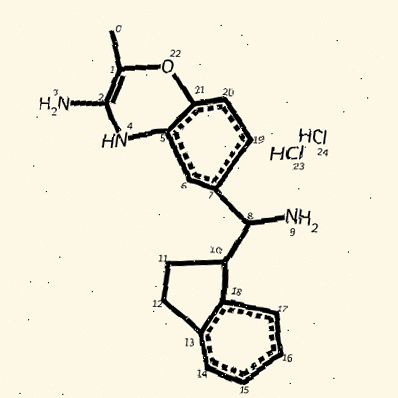 CC1=C(N)Nc2cc(C(N)C3CCc4ccccc43)ccc2O1.Cl.Cl